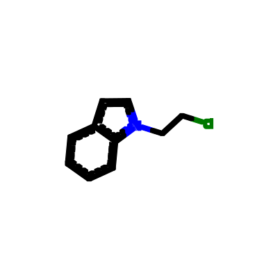 ClCCn1ccc2ccccc21